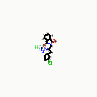 Cl.NC(Cc1cccc(Cl)c1)CN1C(=O)c2ccccc2C1=O